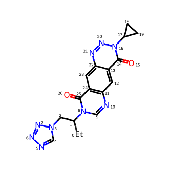 CCC(Cn1cnnn1)n1cnc2cc3c(=O)n(C4CC4)nnc3cc2c1=O